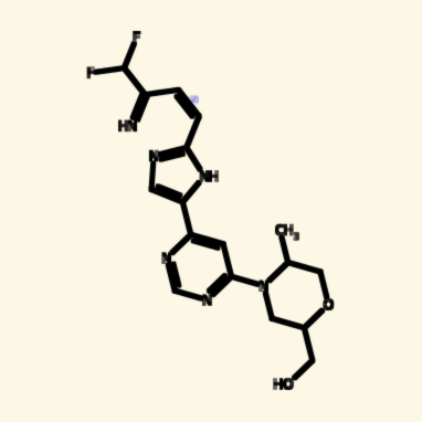 CC1COC(CO)CN1c1cc(-c2cnc(/C=C\C(=N)C(F)F)[nH]2)ncn1